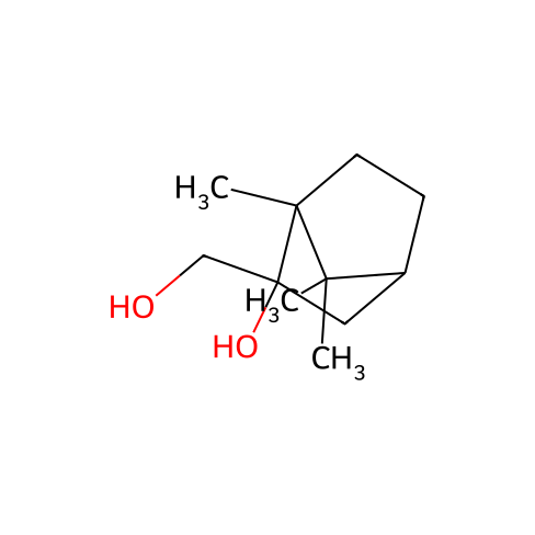 CC1(C)C2CCC1(C)C(O)(CO)C2